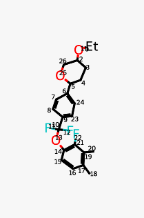 CCOC1CCC(c2ccc(C(F)(F)Oc3ccc(C)c(C)c3F)cc2)OC1